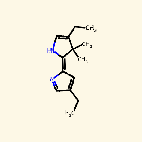 CCC1=CC(=C2NC=C(CC)C2(C)C)N=C1